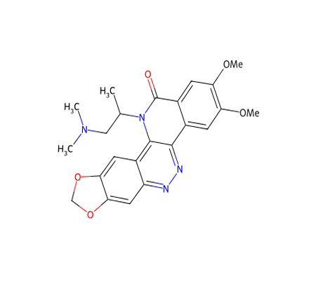 COc1cc2c(=O)n(C(C)CN(C)C)c3c4cc5c(cc4nnc3c2cc1OC)OCO5